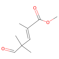 COC(=O)C(C)=CC(C)(C)C=O